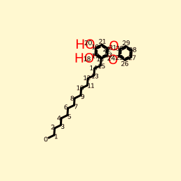 CCCCCCCCCCCCCCCCc1c(O)c(O)cc2c1Oc1ccccc1O2